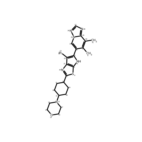 Cc1c(-c2[nH]c3sc(C4CCC(N5CCOCC5)CC4)nc3c2C(C)C)cn2ncnc2c1C